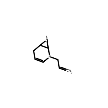 C=CCN1C=CCC2NC21